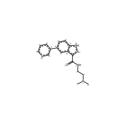 CN(C)CCNC(=O)c1n[nH]c2ccc(-c3cccnc3)cc12